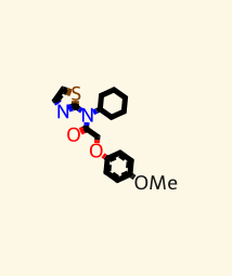 COc1ccc(OCC(=O)N(c2nccs2)C2CCCCC2)cc1